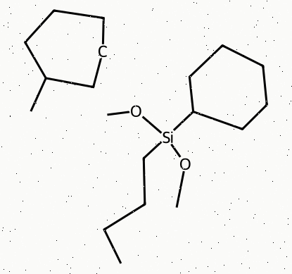 CC1CCCCC1.CCCC[Si](OC)(OC)C1CCCCC1